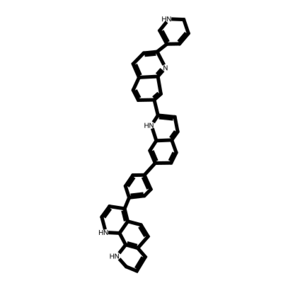 C1=CC(c2ccc3ccc(C4=CC=C5C=CC(c6ccc(C7=C8C=CC9=C(NCC=C9)C8NC=C7)cc6)=CC5N4)cc3n2)=CNC1